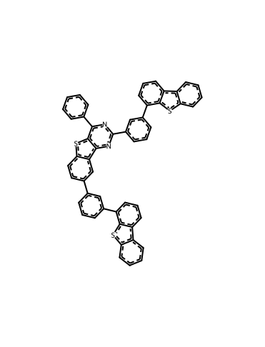 c1ccc(-c2nc(-c3cccc(-c4cccc5c4sc4ccccc45)c3)nc3c2sc2ccc(-c4cccc(-c5cccc6c5sc5ccccc56)c4)cc23)cc1